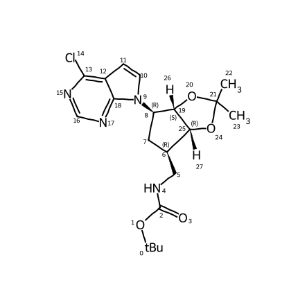 CC(C)(C)OC(=O)NC[C@H]1C[C@@H](n2ccc3c(Cl)ncnc32)[C@@H]2OC(C)(C)O[C@H]12